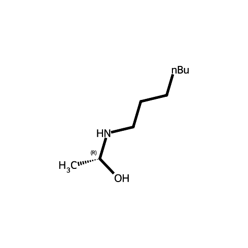 CCCCCCCN[C@@H](C)O